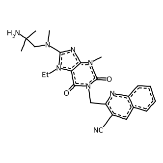 CCn1c(N(C)CC(C)(C)N)nc2c1c(=O)n(Cc1nc3ccccc3cc1C#N)c(=O)n2C